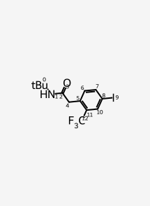 CC(C)(C)NC(=O)Cc1ccc(I)cc1C(F)(F)F